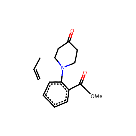 C=CC.COC(=O)c1ccccc1N1CCC(=O)CC1